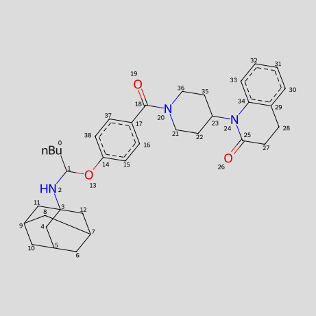 CCCCC(NC12CC3CC(CC(C3)C1)C2)Oc1ccc(C(=O)N2CCC(N3C(=O)CCc4ccccc43)CC2)cc1